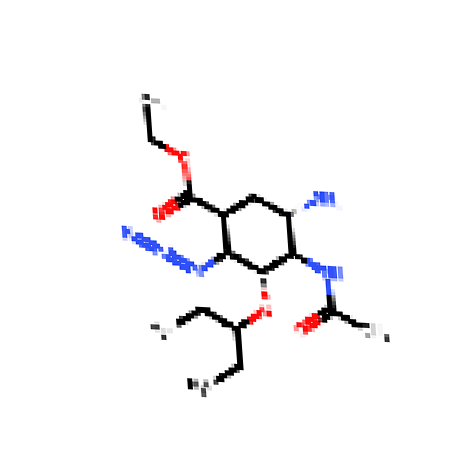 CCOC(=O)C1C[C@H](N)[C@@H](NC(C)=O)[C@H](OC(CC)CC)C1N=[N+]=[N-]